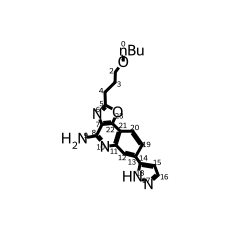 CCCCOCCCc1nc2c(N)nc3cc(-c4ccn[nH]4)ccc3c2o1